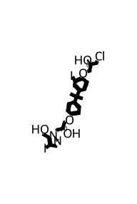 CC(C)(c1ccc(OC[C@H](O)Cn2ncc(I)c2CO)cc1)c1ccc(OC[C@@H](O)CCl)c(I)c1